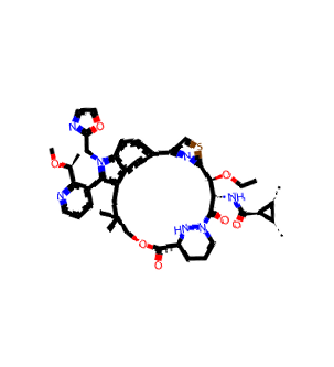 CCO[C@@H]1c2nc(cs2)-c2ccc3c(c2)c(c(-c2cccnc2[C@H](C)OC)n3Cc2ncco2)CC(C)(C)COC(=O)[C@@H]2CCCN(N2)C(=O)[C@H]1NC(=O)[C@H]1[C@H](C)[C@@H]1C